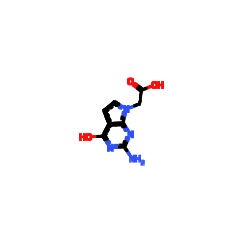 Nc1nc(O)c2ccn(CC(=O)O)c2n1